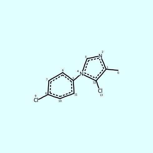 Cc1ncn(-c2ccc(Cl)cc2)c1Cl